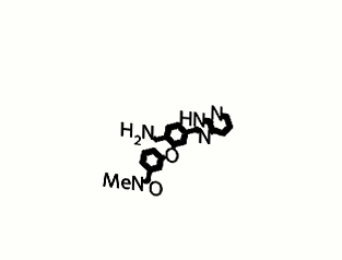 CNC(=O)c1cccc(Oc2cc(-c3nc4cccnc4[nH]3)ccc2CN)c1